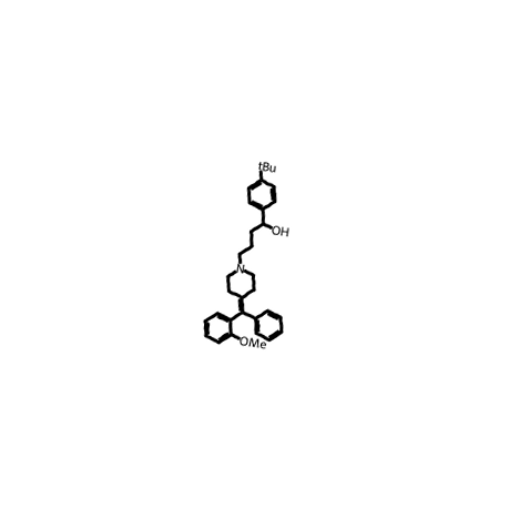 COc1ccccc1C(=C1CCN(CCCC(O)c2ccc(C(C)(C)C)cc2)CC1)c1ccccc1